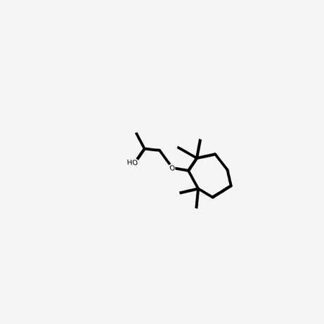 CC(O)COC1C(C)(C)CCCCC1(C)C